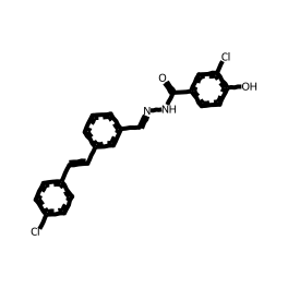 O=C(N/N=C/c1cccc(/C=C/c2ccc(Cl)cc2)c1)c1ccc(O)c(Cl)c1